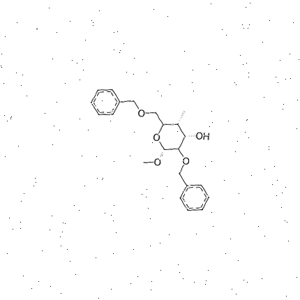 CO[C@@H]1OC(COCc2ccccc2)[C@H](C)[C@H](O)C1OCc1ccccc1